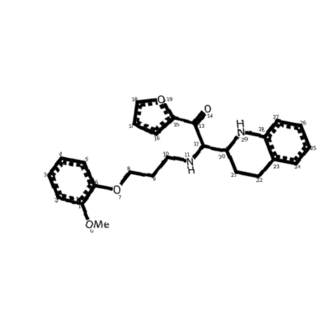 COc1ccccc1OCCCNC(C(=O)c1ccco1)C1CCc2ccccc2N1